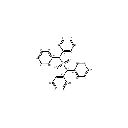 O=S(=O)(C(c1ccccc1)c1ccccc1)C(c1ccccc1)c1ccccc1